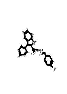 O=C(NN=Cc1ccc(Br)cc1)c1[nH]c2ccccc2c1-c1ccccc1